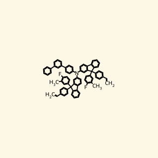 C=Cc1ccc(C2(c3ccc(F)c(C)c3)c3ccccc3-c3ccc(N(c4ccc(-c5cccc(-c6ccccc6)c5)cc4)c4ccc5c(c4)C(c4ccc(C=C)cc4)(c4ccc(F)c(C)c4)c4ccccc4-5)cc32)cc1